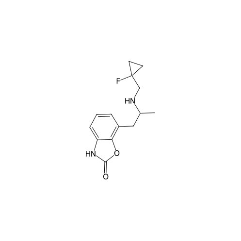 CC(Cc1cccc2[nH]c(=O)oc12)NCC1(F)CC1